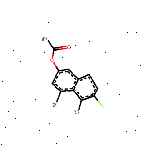 CCc1cc(OC(=O)C(C)C)cc2ccc(F)c(CC)c12